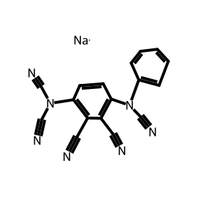 N#Cc1c(N(C#N)C#N)ccc(N(C#N)c2ccccc2)c1C#N.[Na]